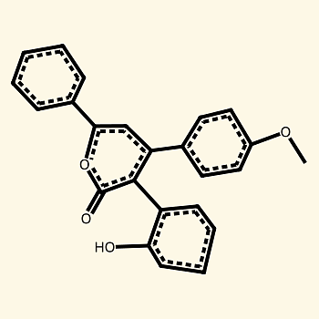 COc1ccc(-c2cc(-c3ccccc3)oc(=O)c2-c2ccccc2O)cc1